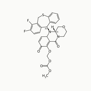 COC(=O)OCOC1=C2C(=O)N3CCOC[C@H]3N([C@@H]3c4ccccc4SCc4c3ccc(F)c4F)C2C=CC1=O